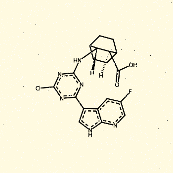 O=C(O)[C@@H]1C2CCC(CC2)[C@H]1Nc1nc(Cl)nc(-c2c[nH]c3ncc(F)cc23)n1